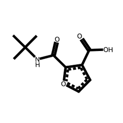 CC(C)(C)NC(=O)c1occc1C(=O)O